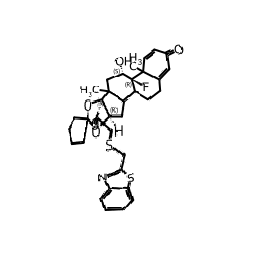 CC12C[C@H](O)[C@@]3(F)C(CCC4=CC(=O)C=CC43C)C1C[C@H]1OC3(CCCC3)O[C@]12C(=O)CSCc1nc2ccccc2s1